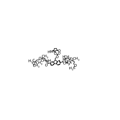 C=C(NC(C)(C)CCOC(C)(C)CCOC)c1ccc2c(c1)C(COC(=O)ON1C(=N)CCC1=O)c1cc(C(=O)NCCC(C)(C)OCCC(C)(C)OC)ccc1-2